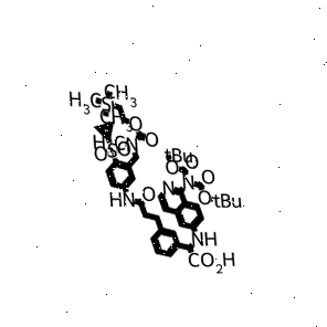 CN(Cc1cc(NC(=O)CCc2cccc(C(Nc3ccc4c(N(C(=O)OC(C)(C)C)C(=O)OC(C)(C)C)nccc4c3)C(=O)O)c2)ccc1S(=O)(=O)C1CC1)C(=O)OCC[Si](C)(C)C